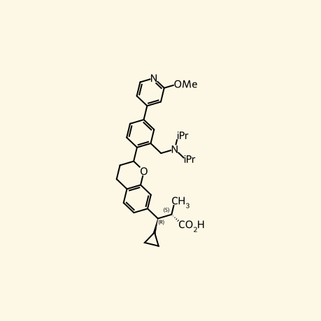 COc1cc(-c2ccc(C3CCc4ccc([C@H](C5CC5)[C@H](C)C(=O)O)cc4O3)c(CN(C(C)C)C(C)C)c2)ccn1